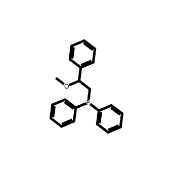 COC(CP(c1ccccc1)c1ccccc1)c1ccccc1